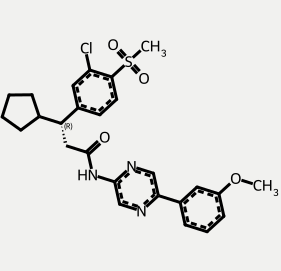 COc1cccc(-c2cnc(NC(=O)C[C@@H](c3ccc(S(C)(=O)=O)c(Cl)c3)C3CCCC3)cn2)c1